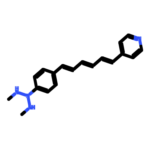 CNN(NC)c1ccc(/C=C/C=C/C=C/c2ccncc2)cc1